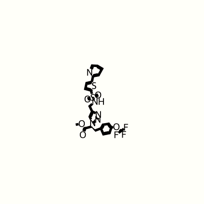 COC(=O)[C@H](Cc1ccc(OC(F)(F)F)cc1)n1cc(CNS(=O)(=O)c2ccc(-c3ccccn3)s2)nn1